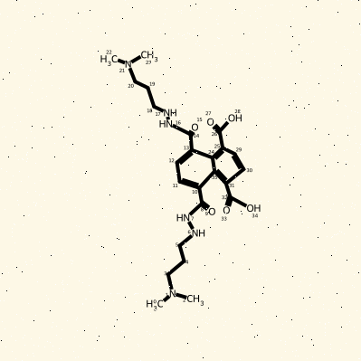 CN(C)CCCNNC(=O)c1ccc(C(=O)NNCCCN(C)C)c2c(C(=O)O)ccc(C(=O)O)c12